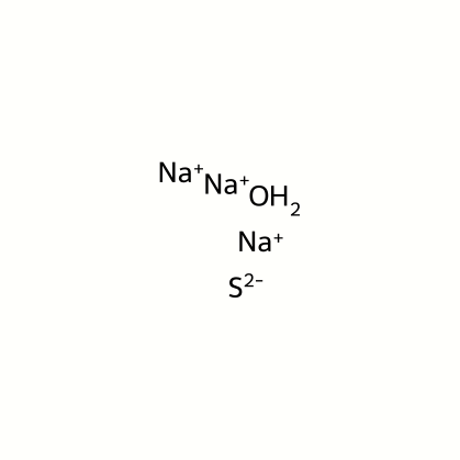 O.[Na+].[Na+].[Na+].[S-2]